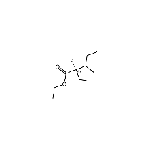 CCOC(=O)[C@](C)(CC)C(C)CC